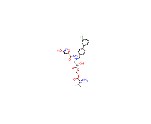 CC(C)[C@H](N)C(=O)OCOC(=O)[C@H](O)CN(Cc1ccc(-c2cccc(Cl)c2)cc1)NC(=O)c1cc(O)no1